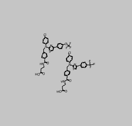 O=C(O)CCNC(=O)c1ccc(CN(c2ccc(Cl)cc2)c2nc(-c3ccc(C(F)(F)F)cc3)cs2)cc1.O=C(O)CCNC(=O)c1ccc(CN(c2ccc(Cl)cc2)c2nc(-c3ccc(OC(F)(F)F)cc3)cs2)cc1